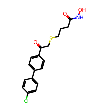 O=C(CCCSCC(=O)c1ccc(-c2ccc(Cl)cc2)cc1)NO